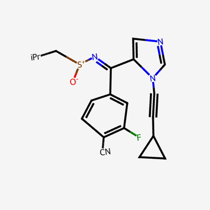 CC(C)C[S+]([O-])/N=C(\c1ccc(C#N)c(F)c1)c1cncn1C#CC1CC1